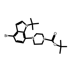 CC(C)(C)OC(=O)N1CCN(c2ccc(Br)c3ccn(C(C)(C)C)c23)CC1